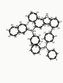 c1ccc(N(c2ccccc2)c2ccc(-c3cccc4oc5c6ccccc6c(N(c6ccccc6)c6ccc7ccccc7c6)cc5c34)cc2)cc1